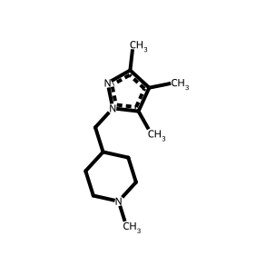 Cc1nn(CC2CCN(C)CC2)c(C)c1C